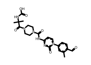 Cc1cc(-n2ccc(NC(=O)N3CCN(C(=O)C(C)(C)NC(=O)O)CC3)nc2=O)ccc1C=O